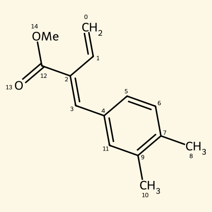 C=C/C(=C\c1ccc(C)c(C)c1)C(=O)OC